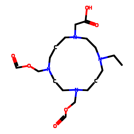 CCN1CCCN(COC=O)CCN(COC=O)CCCN(CC(=O)O)CC1